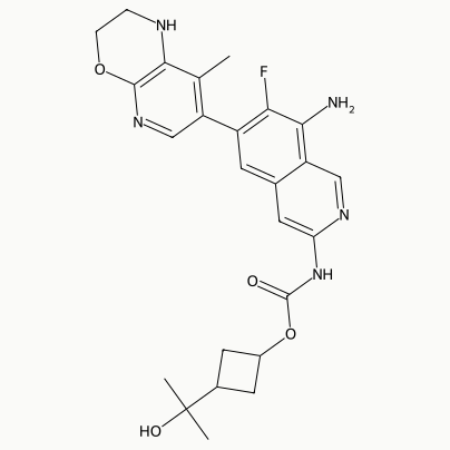 Cc1c(-c2cc3cc(NC(=O)OC4CC(C(C)(C)O)C4)ncc3c(N)c2F)cnc2c1NCCO2